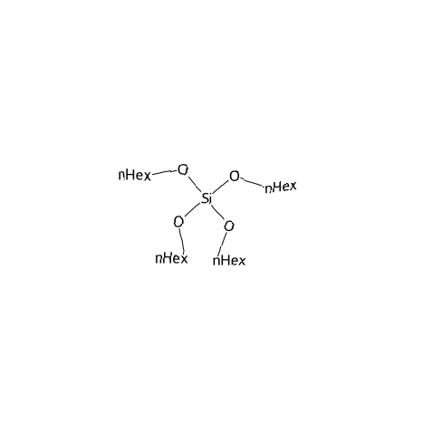 CCCCCCO[Si](OCCCCCC)(OCCCCCC)OCCCCCC